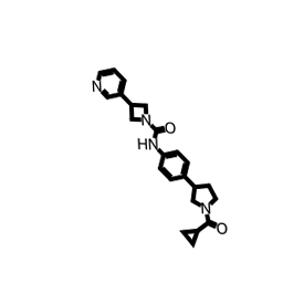 O=C(Nc1ccc(C2CCN(C(=O)C3CC3)C2)cc1)N1CC(c2cccnc2)C1